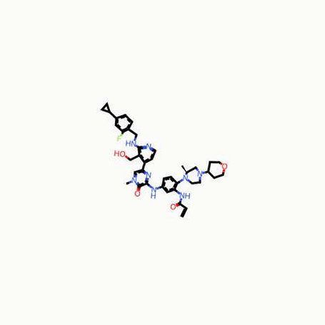 C=CC(=O)Nc1cc(Nc2nc(-c3ccnc(NCc4ccc(C5CC5)cc4F)c3CO)cn(C)c2=O)ccc1N1CCN(C2CCOCC2)C[C@@H]1C